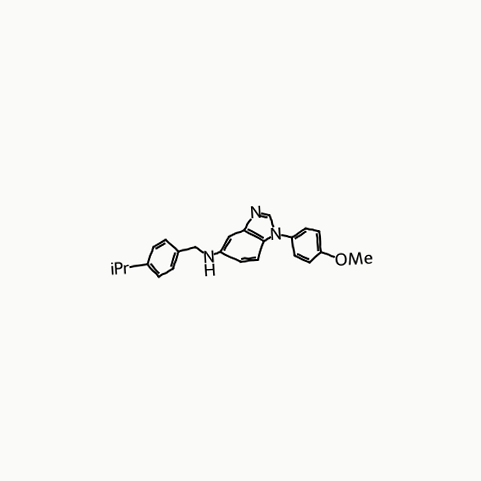 COc1ccc(-n2cnc3cc(NCc4ccc(C(C)C)cc4)ccc32)cc1